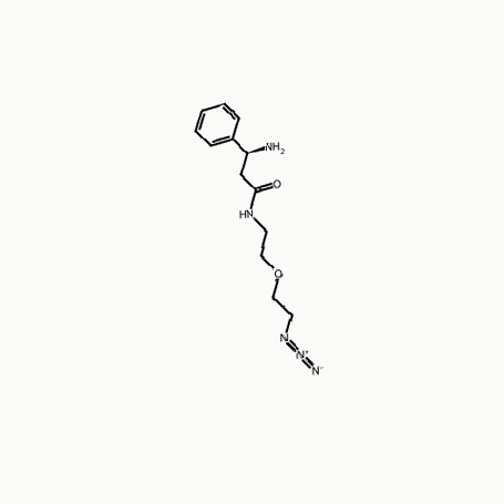 [N-]=[N+]=NCCOCCNC(=O)C[C@H](N)c1ccccc1